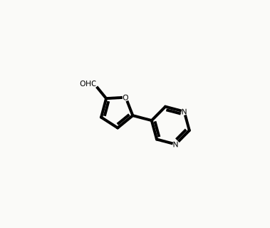 O=Cc1ccc(-c2cncnc2)o1